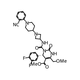 COCC1=C(C(=O)OC)[C@H](c2ccc(F)c(F)c2)N(C(=O)NC2CN(C3CCN(c4ccccc4C#N)CC3)C2)C(=O)N1